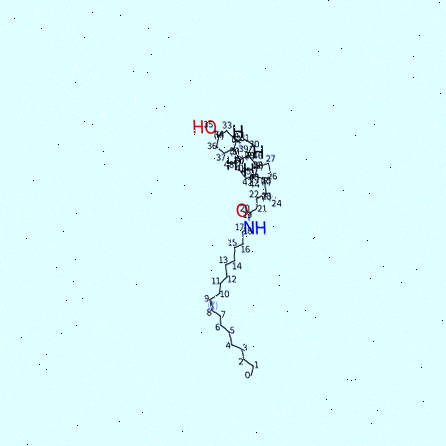 CCCCCCCC/C=C\CCCCCCCCNC(=O)CC[C@@H](C)[C@H]1CC[C@H]2[C@@H]3CC[C@@H]4C[C@H](O)CC[C@]4(C)[C@H]3CC[C@]12C